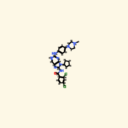 CN1CCN(c2ccc(Nc3ncc4nc(NC(=O)c5ccc(Cl)cc5Cl)n(C5CCCC5)c4n3)cc2)CC1